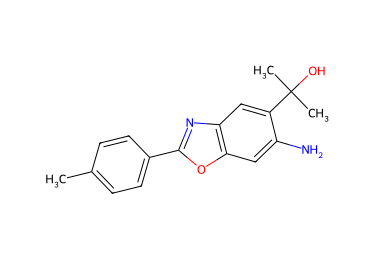 Cc1ccc(-c2nc3cc(C(C)(C)O)c(N)cc3o2)cc1